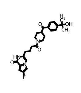 CC(C)(O)c1ccc(C(=O)C2CCN(C(=O)CCCc3cn4cc(F)cc4c(=O)[nH]3)CC2)cc1